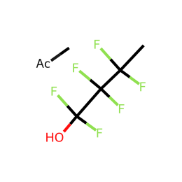 CC(C)=O.CC(F)(F)C(F)(F)C(O)(F)F